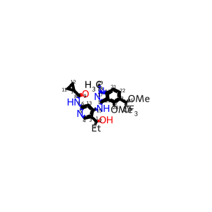 CCC(O)c1cnc(NC(=O)C2CC2)cc1Nc1nn(C)c2ccc([C@H](OC)C(F)(F)F)c(OC)c12